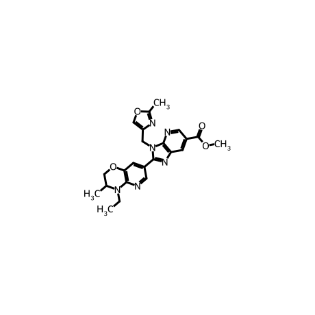 CCN1c2ncc(-c3nc4cc(C(=O)OC)cnc4n3Cc3coc(C)n3)cc2OCC1C